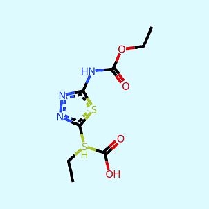 CCOC(=O)Nc1nnc([SH](CC)C(=O)O)s1